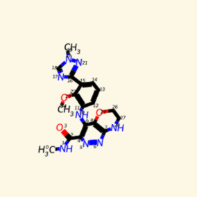 CNC(=O)c1nnc2c(c1Nc1cccc(-c3ncn(C)n3)c1OC)OCCN2